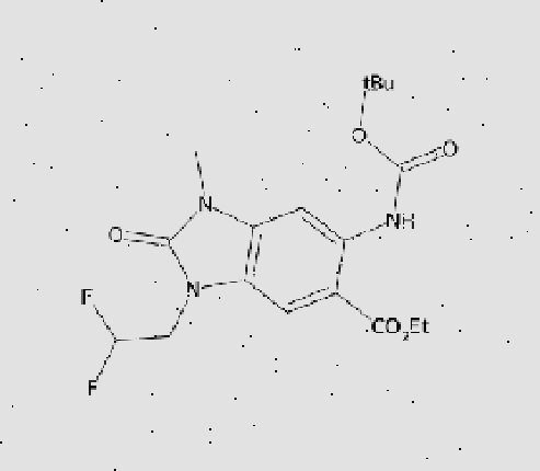 CCOC(=O)c1cc2c(cc1NC(=O)OC(C)(C)C)n(C)c(=O)n2CC(F)F